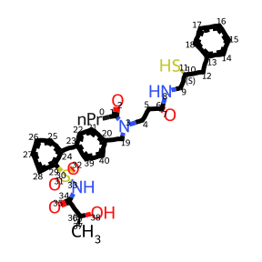 CCCC(=O)N(CCC(=O)NC[C@@H](S)Cc1ccccc1)Cc1ccc(-c2ccccc2S(=O)(=O)NC(=O)[C@H](C)O)cc1